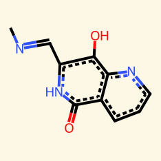 C/N=C/c1[nH]c(=O)c2cccnc2c1O